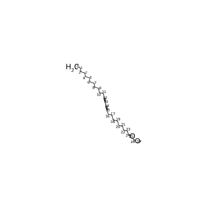 CCCCCCCCCCCCC#CC#CCCCCCCCCCOC=O